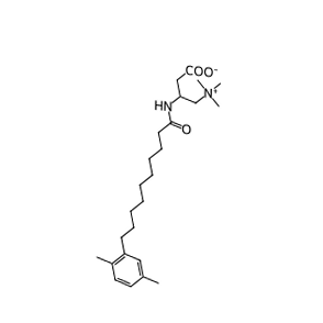 Cc1ccc(C)c(CCCCCCCCCC(=O)NC(CC(=O)[O-])C[N+](C)(C)C)c1